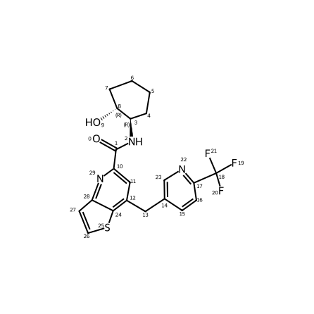 O=C(N[C@@H]1CCCC[C@H]1O)c1cc(Cc2ccc(C(F)(F)F)nc2)c2sccc2n1